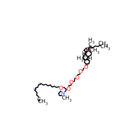 CCCCC/C=C\C/C=C\CCCCCCCCOCC(CN1CCCC1C)OCCOCCOCCOCCO[C@H]1CC[C@@]2(C)C(=CC[C@H]3[C@@H]4CC[C@H]([C@H](C)CCCC(C)C)[C@@]4(C)CC[C@@H]32)C1